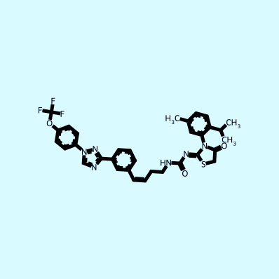 Cc1ccc(C(C)C)c(N2C(=O)CS/C2=N\C(=O)NCC/C=C\c2cccc(-c3ncn(-c4ccc(OC(F)(F)F)cc4)n3)c2)c1